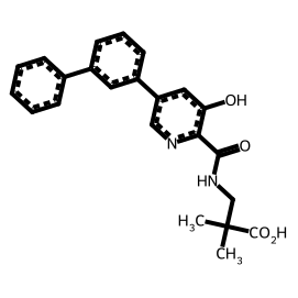 CC(C)(CNC(=O)c1ncc(-c2cccc(-c3ccccc3)c2)cc1O)C(=O)O